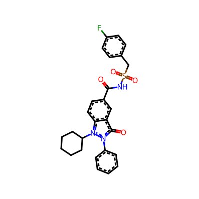 O=C(NS(=O)(=O)Cc1ccc(F)cc1)c1ccc2c(c1)c(=O)n(-c1ccccc1)n2C1CCCCC1